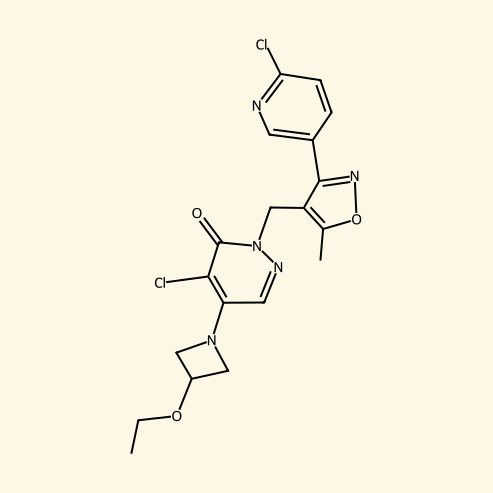 CCOC1CN(c2cnn(Cc3c(-c4ccc(Cl)nc4)noc3C)c(=O)c2Cl)C1